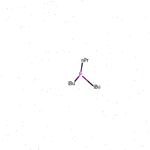 CCCP(C(C)CC)C(C)CC